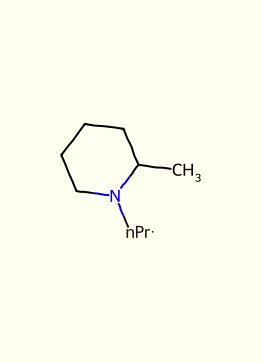 CC[CH]N1CCCCC1C